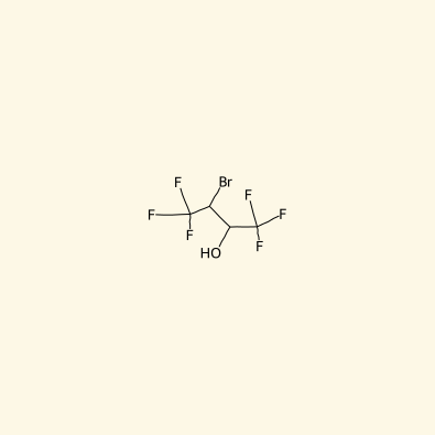 OC(C(Br)C(F)(F)F)C(F)(F)F